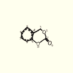 O=C1OCc2ccccc2O1